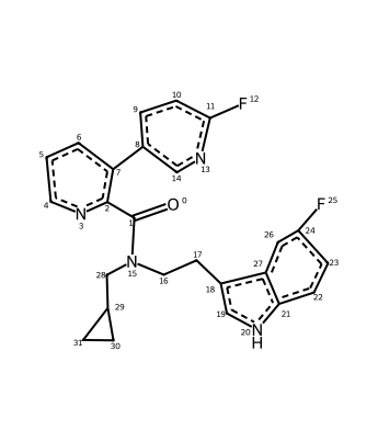 O=C(c1ncccc1-c1ccc(F)nc1)N(CCc1c[nH]c2ccc(F)cc12)CC1CC1